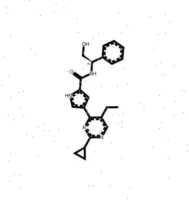 CCc1cnc(C2CC2)nc1-c1c[nH]c(C(=O)N[C@@H](CO)c2ccccc2)c1